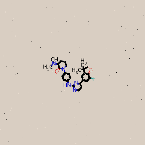 CN(C)C1CCCN(c2ccc(Nc3nccc(-c4cc(F)c5c(c4)C(C)(C)CO5)n3)cc2)C1=O